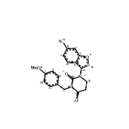 COc1ccc(CN2C(=O)CCN(c3noc4cc(Br)ccc34)C2=O)cc1